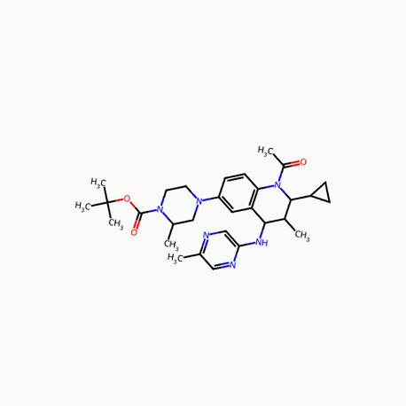 CC(=O)N1c2ccc(N3CCN(C(=O)OC(C)(C)C)C(C)C3)cc2C(Nc2cnc(C)cn2)C(C)C1C1CC1